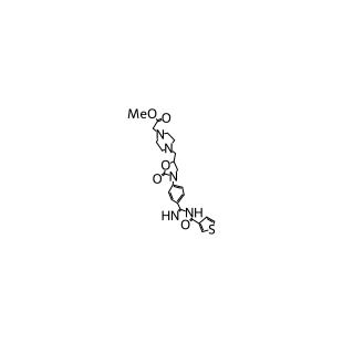 COC(=O)CN1CCN(CC2CN(c3ccc(C(=N)NC(=O)c4ccsc4)cc3)C(=O)O2)CC1